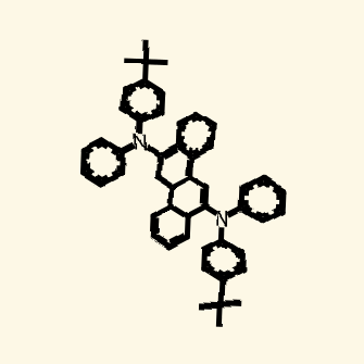 CC(C)(C)c1ccc(N(C2=CC3=c4ccccc4=C(N(c4ccccc4)c4ccc(C(C)(C)C)cc4)CC3C3C=CC=CC23)c2ccccc2)cc1